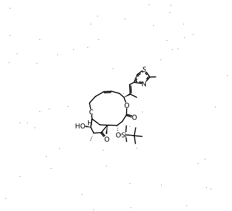 C/C(=C\c1csc(C)n1)[C@@H]1C/C=C\CCC[C@@H]2C[C@@](C)(C(=O)[C@H](C)[C@H]2O)[C@@H](O[Si](C)(C)C(C)(C)C)CC(=O)O1